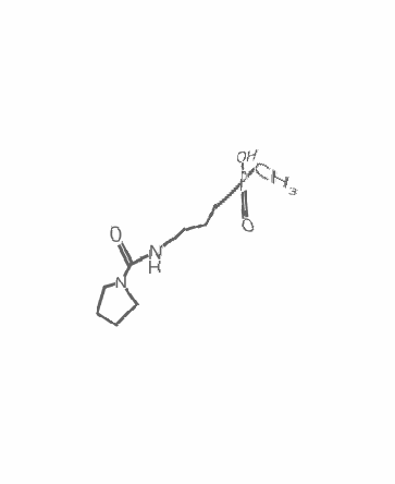 CP(=O)(O)CCCNC(=O)N1CCCC1